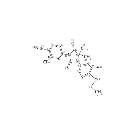 CCOc1ccc(N2C(=S)N(c3ccc(C#N)c(Cl)c3)C(=O)C2(C)C)cc1F